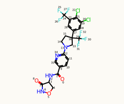 O=C(NC1CONC1=O)c1ccc(N2CCC(c3cc(Cl)c(Cl)c(C(F)(F)F)c3)(C(F)(F)F)C2)nc1